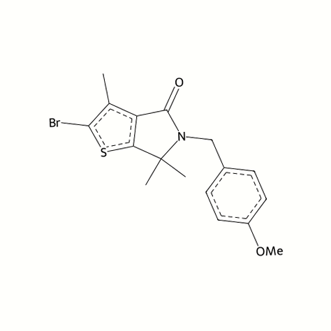 COc1ccc(CN2C(=O)c3c(sc(Br)c3C)C2(C)C)cc1